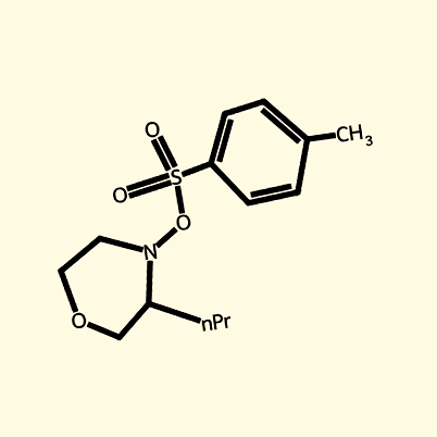 CCCC1COCCN1OS(=O)(=O)c1ccc(C)cc1